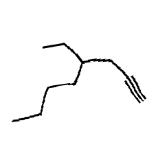 C#CCC(CC)CCCC